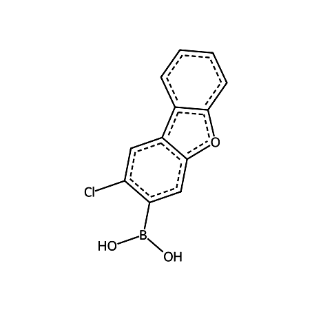 OB(O)c1cc2oc3ccccc3c2cc1Cl